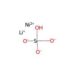 [Li+].[Ni+2].[O-][Si]([O-])([O-])O